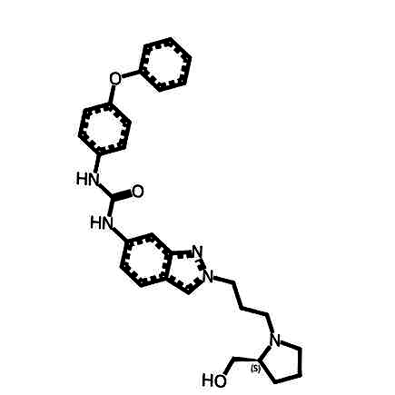 O=C(Nc1ccc(Oc2ccccc2)cc1)Nc1ccc2cn(CCCN3CCC[C@H]3CO)nc2c1